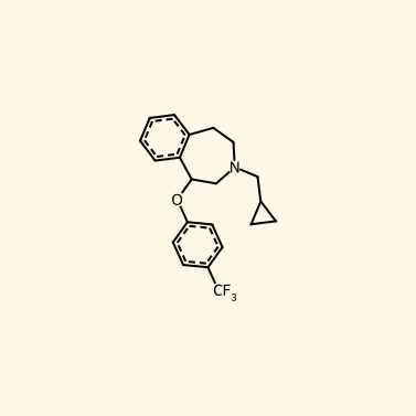 FC(F)(F)c1ccc(OC2CN(CC3CC3)CCc3ccccc32)cc1